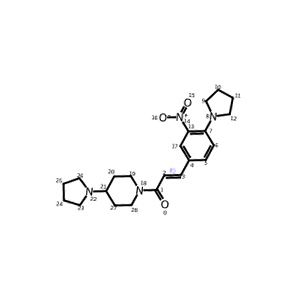 O=C(/C=C/c1ccc(N2CCCC2)c([N+](=O)[O-])c1)N1CCC(N2CCCC2)CC1